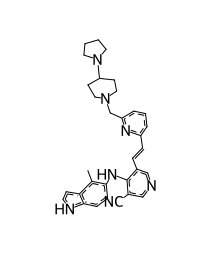 Cc1c(Nc2c(C#N)cncc2C=Cc2cccc(CN3CCC(N4CCCC4)CC3)n2)ccc2[nH]ccc12